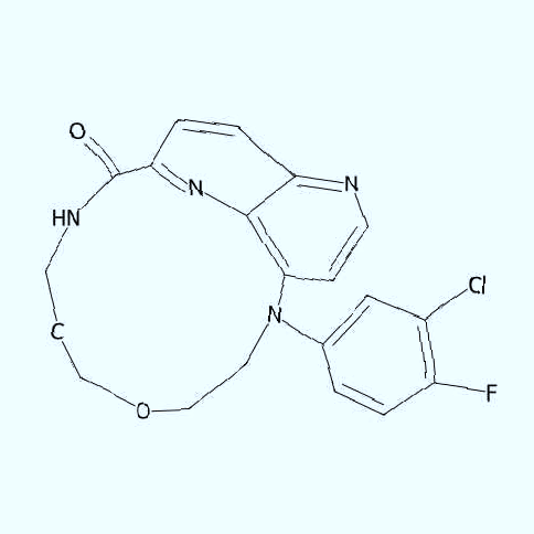 O=C1NCCCOCCN(c2ccc(F)c(Cl)c2)c2ccnc3ccc1nc23